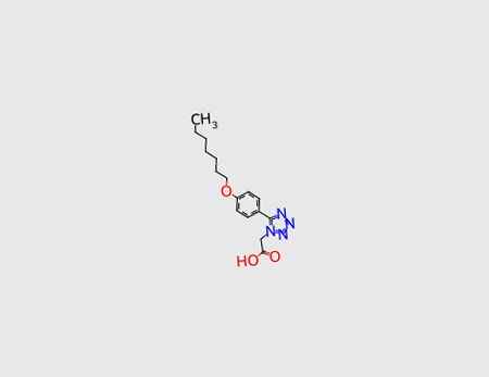 CCCCCCCOc1ccc(-c2nnnn2CC(=O)O)cc1